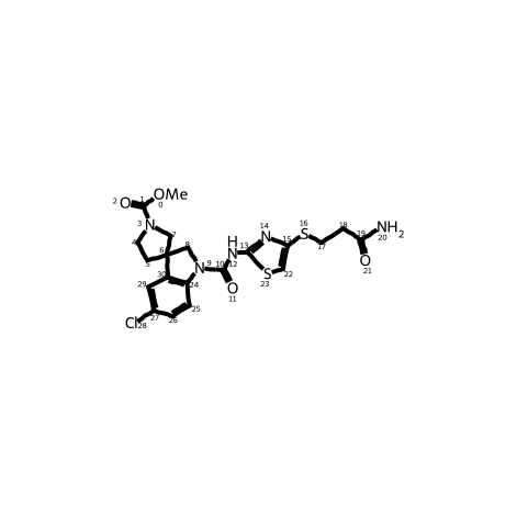 COC(=O)N1CCC2(C1)CN(C(=O)Nc1nc(SCCC(N)=O)cs1)c1ccc(Cl)cc12